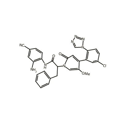 COc1cn(C(Cc2ccccc2)C(=O)Nc2ccc(C#N)cc2N)c(=O)cc1-c1cc(Cl)ccc1-n1cnnn1